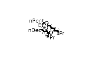 CCCCCC(CC)OC(=O)CCCCCC(C)C.CCCCCCCCCCCCCC(=O)OC(C)C